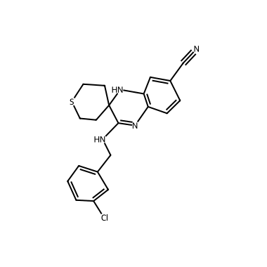 N#Cc1ccc2c(c1)NC1(CCSCC1)C(NCc1cccc(Cl)c1)=N2